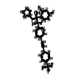 OC(Cn1cnnn1)(c1ccc(F)cc1F)C(F)(F)c1ccc(C#Cc2ccc(C(F)(F)F)cc2)cn1